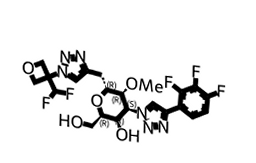 CO[C@@H]1[C@@H](n2cc(-c3ccc(F)c(F)c3F)nn2)[C@@H](O)[C@@H](CO)O[C@@H]1Cc1cn(C2(C(F)F)COC2)nn1